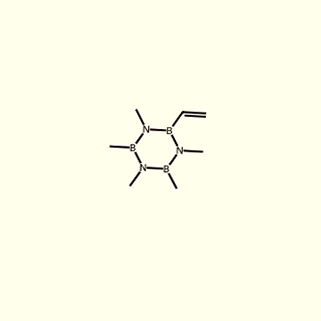 C=CB1N(C)B(C)N(C)B(C)N1C